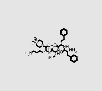 CC(C)C[C@@H](NC(=O)[C@@H](CCc1ccccc1)NC(=O)[C@H](N)Cc1ccccc1)C(=O)N[C@H](CCCCN)C(=O)N1CCS(=O)(=O)CC1